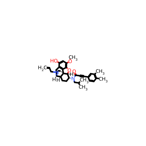 C=CCN1CC[C@]23c4c5c(O)cc(OC)c4O[C@H]2[C@H](N(CC(C)C)C(=O)C#Cc2ccc(C)c(C)c2)CC[C@H]3[C@H]1C5